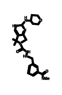 CNC(=O)c1cccc(CNNC(=O)N2CC3=NC(NC4CCOCC4)NC=C3C2(C)C)c1